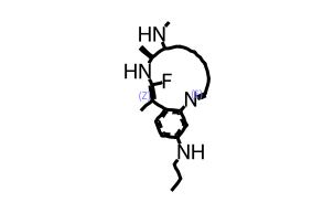 C=C1N/C(F)=C(\C)c2ccc(NCCC)cc2/N=C/CCCCC1NC